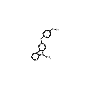 CCSc1ccc(Cc2ccc3c(c2)c2ccccc2n3C)cc1